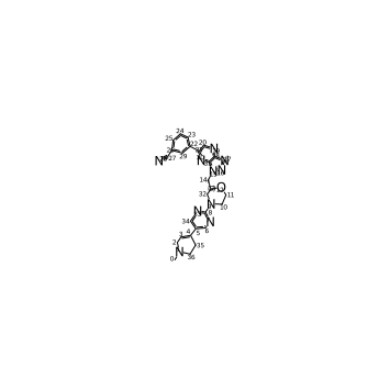 CN1CC=C(c2cnc(N3CCO[C@H](Cn4nnc5ncc(-c6cccc(C#N)c6)nc54)C3)nc2)CC1